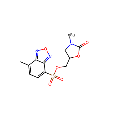 CCCCN1CC(COS(=O)(=O)c2ccc(C)c3nonc23)OC1=O